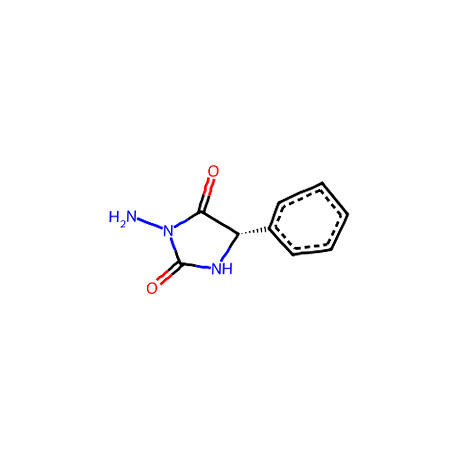 NN1C(=O)N[C@@H](c2ccccc2)C1=O